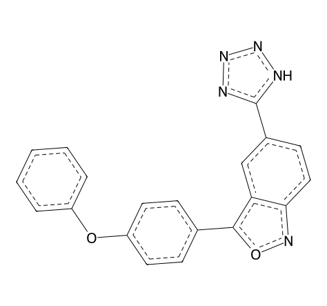 c1ccc(Oc2ccc(-c3onc4ccc(-c5nnn[nH]5)cc34)cc2)cc1